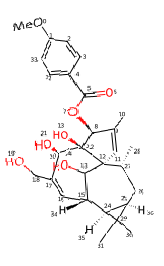 COc1ccc(C(=O)O[C@H]2C(C)=C[C@]34C(O)[C@@H](C=C(CO)[C@@H](O)[C@]23O)[C@H]2[C@@H](C[C@H]4C)C2(C)C)cc1